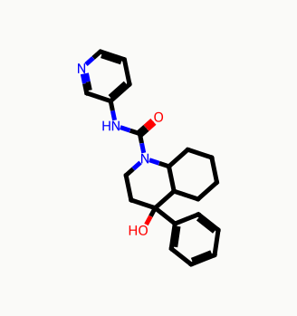 O=C(Nc1cccnc1)N1CCC(O)(c2ccccc2)C2CCCCC21